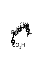 O=C(O)c1ccc(CCCN2CCN(c3ccc(OCc4c(Cl)nnn4-c4ccc(C(F)F)cc4)nn3)CC2=O)cc1